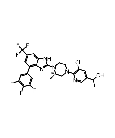 CC(O)c1cnc(N2CCN(c3nc4c(-c5cc(F)c(F)c(F)c5)cc(C(F)(F)F)cc4[nH]3)[C@H](C)C2)c(Cl)c1